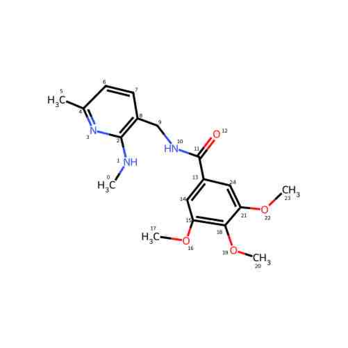 CNc1nc(C)ccc1CNC(=O)c1cc(OC)c(OC)c(OC)c1